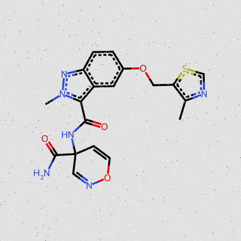 Cc1ncsc1COc1ccc2nn(C)c(C(=O)NC3(C(N)=O)C=CON=C3)c2c1